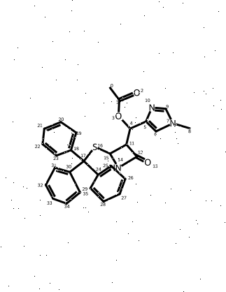 CC(=O)OC(c1cn(C)cn1)C1C(=O)NC1SC(c1ccccc1)(c1ccccc1)c1ccccc1